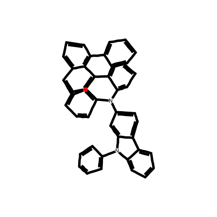 c1ccc(-c2cccc3cccc(-c4ccccc4N(c4ccccc4)c4ccc5c6ccccc6n(-c6ccccc6)c5c4)c23)cc1